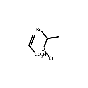 C=CC(=O)O.CCOC(C)C(C)(C)C